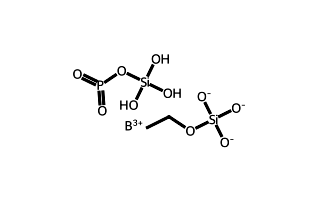 CCO[Si]([O-])([O-])[O-].O=P(=O)O[Si](O)(O)O.[B+3]